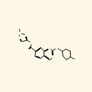 Cn1ncc(NC(=O)c2ccc3cnc(NC4CCC(O)CC4)nc3c2)n1